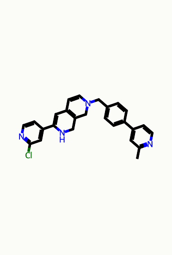 Cc1cc(-c2ccc(CN3C=CC4=C(CNC(c5ccnc(Cl)c5)=C4)C3)cc2)ccn1